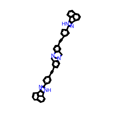 C(#Cc1ccc2c(c1)CN1CN2Cc2cc(C#Cc3ccc(-c4nc5c([nH]4)C4C=CC=C6CC=CC5=C64)cc3)ccc21)c1ccc(-c2nc3c([nH]2)-c2cccc4cccc-3c24)cc1